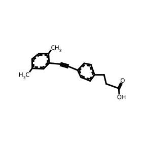 Cc1ccc(C)c(C#Cc2ccc(CCC(=O)O)cc2)c1